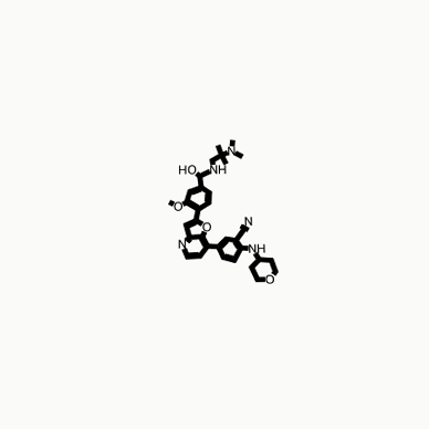 COc1cc(C(O)NCC(C)(C)N(C)C)ccc1-c1cc2nccc(-c3ccc(NC4CCOCC4)c(C#N)c3)c2o1